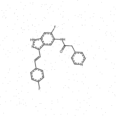 O=C(Cc1ccncc1)Nc1cc2c(/C=C/c3ccc(F)cc3)n[nH]c2cc1F